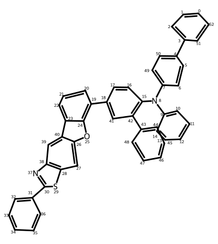 c1ccc(-c2ccc(N(c3ccccc3)c3ccc(-c4cccc5c4oc4cc6sc(-c7ccccc7)nc6cc45)cc3-c3ccccc3)cc2)cc1